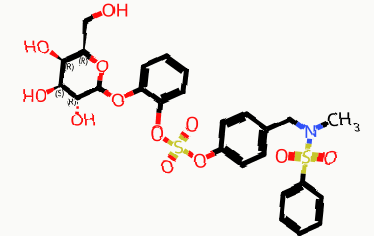 CN(Cc1ccc(OS(=O)(=O)Oc2ccccc2OC2O[C@H](CO)[C@H](O)[C@H](O)[C@H]2O)cc1)S(=O)(=O)c1ccccc1